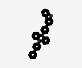 c1ccc(-c2ccc(N3c4ccccc4N(c4ccc(-c5ccc6oc7ccccc7c6c5)cc4)c4ccccc43)cc2)cc1